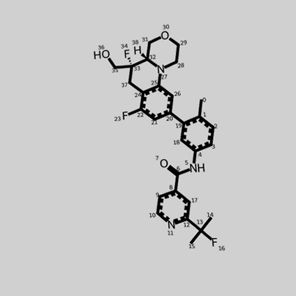 Cc1ccc(NC(=O)c2ccnc(C(C)(C)F)c2)cc1-c1cc(F)c2c(c1)N1CCOC[C@H]1[C@](F)(CO)C2